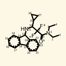 CCN(CC)C(=O)C(F)(F)C(NC1c2ccccc2-c2ccccc21)C1CC1